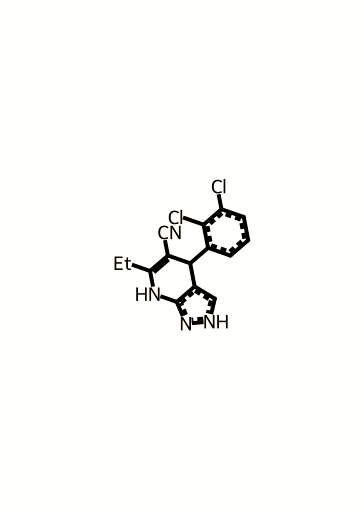 CCC1=C(C#N)C(c2cccc(Cl)c2Cl)c2c[nH]nc2N1